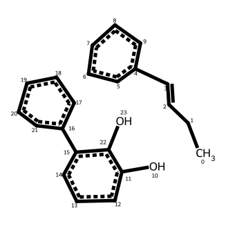 CCC=Cc1ccccc1.Oc1cccc(-c2ccccc2)c1O